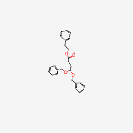 O=C(CCC(OCc1ccccc1)OCc1ccccc1)OCCc1ccccc1